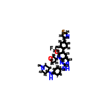 CN1CCC(Nc2ccc(Nc3ncc4cc(-c5ccc(-c6cscn6)cc5C(F)(F)F)c(=O)n(C5CCOC5)c4n3)cc2)CC1